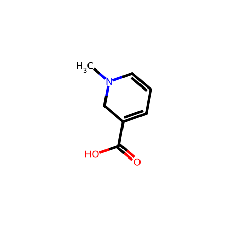 CN1C=CC=C(C(=O)O)C1